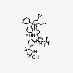 CC(C)CCNC(CCC1CC1)(c1cccnc1)c1ccc(F)c(NC(=O)c2cc(C(F)(F)F)nn2-c2cccc(C(NC(=O)O)C(C)(C)C)c2)c1